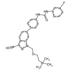 C#Cc1nn(COCC[Si](C)(C)C)c2cc(-c3ccc(NC(=O)Nc4cccc(F)c4)cc3)ccc12